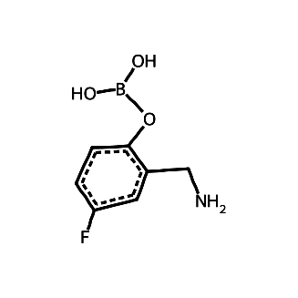 NCc1cc(F)ccc1OB(O)O